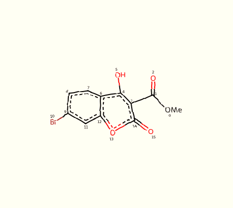 COC(=O)c1c(O)c2ccc(Br)cc2oc1=O